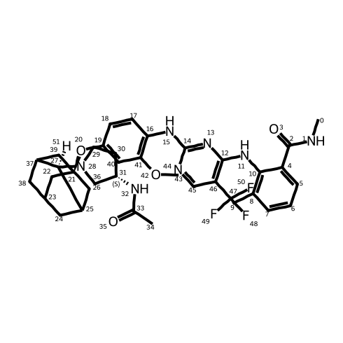 CNC(=O)c1cccc(C)c1Nc1nc(Nc2ccc(O[C@]34CC5CC(C3)[C@H](N3CC[C@H](NC(C)=O)C3)C(C5)C4)cc2OC)ncc1C(F)(F)F